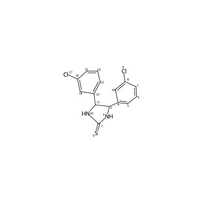 S=C1NC(c2cccc(Cl)c2)C(c2cccc(Cl)c2)N1